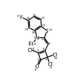 CCN1C(=CC2=C(Cl)C(=O)C2(Cl)Cl)Sc2ccc(F)cc21